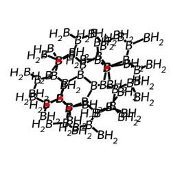 BBB(B(B)B)B(B(B)B)B(B(B(B)B)B(B)B)B(B(B(B(B)B)B(B)B)B(B(B)B)B(B)B)B(B(B(B(B)B)B(B)B)B(B(B)B)B(B)B)B(B(B(B)B)B(B)B)B(B(B)B)B(B)B